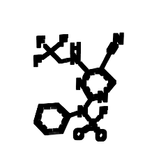 N#Cc1cnc(N(c2ccccc2)S(=O)(=O)F)nc1NCC(F)(F)F